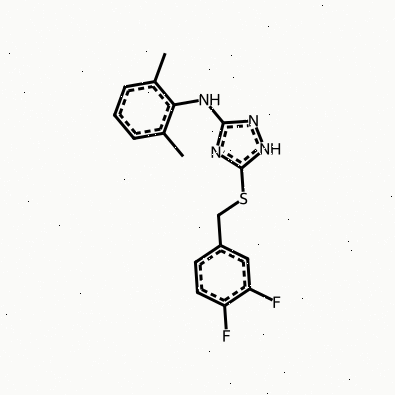 Cc1cccc(C)c1Nc1n[nH]c(SCc2ccc(F)c(F)c2)n1